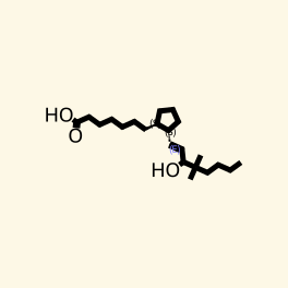 CCCCC(C)(C)C(O)/C=C/[C@H]1CCC[C@@H]1CCCCCCC(=O)O